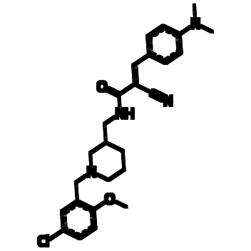 COc1ccc(Cl)cc1CN1CCCC(CNC(=O)/C(C#N)=C/c2ccc(N(C)C)cc2)C1